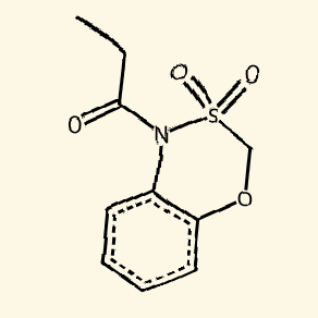 CCC(=O)N1c2ccccc2OCS1(=O)=O